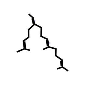 C/C=C(\CCC=C(C)C)CC/C=C(\C)CCC=C(C)C